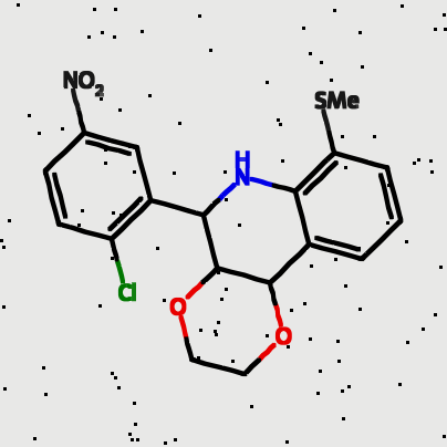 CSc1cccc2c1NC(c1cc([N+](=O)[O-])ccc1Cl)C1OCCOC21